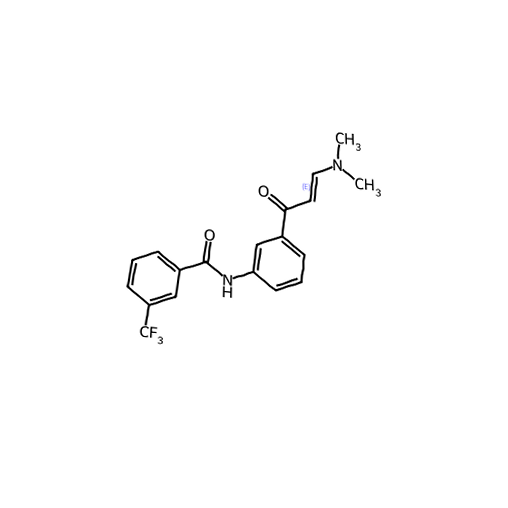 CN(C)/C=C/C(=O)c1cccc(NC(=O)c2cccc(C(F)(F)F)c2)c1